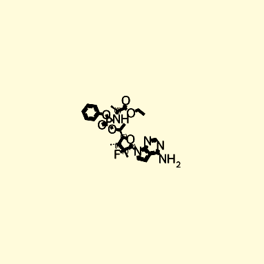 CCOC(=O)[C@H](C)NP(=O)(Oc1ccccc1)OC(C)[C@H]1O[C@@H](n2ccc3c(N)ncnc32)[C@](C)(F)[C@@H]1C